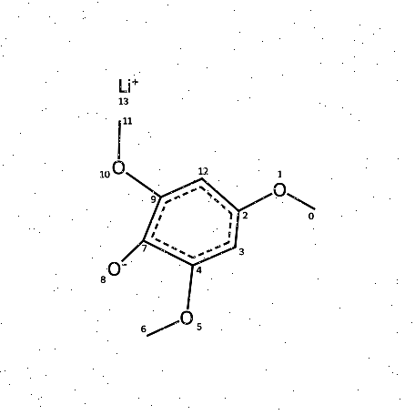 COc1cc(OC)c([O-])c(OC)c1.[Li+]